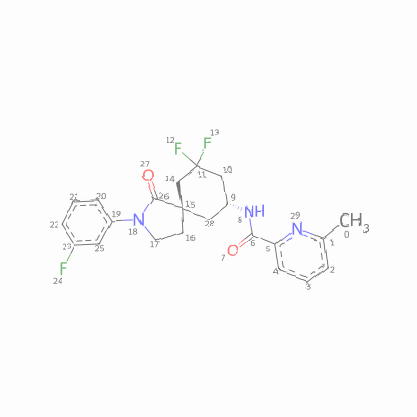 Cc1cccc(C(=O)N[C@H]2CC(F)(F)C[C@]3(CCN(c4cccc(F)c4)C3=O)C2)n1